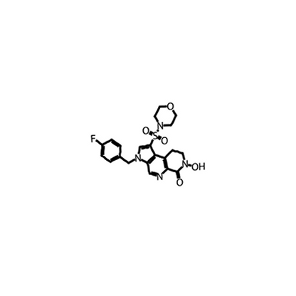 O=C1c2ncc3c(c(S(=O)(=O)N4CCOCC4)cn3Cc3ccc(F)cc3)c2CCN1O